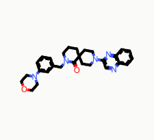 O=C1N(Cc2cccc(N3CCOCC3)c2)CCCC12CCN(c1cnc3ccccc3n1)CC2